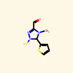 CN1C(C=O)=NN(S)C1c1cccs1